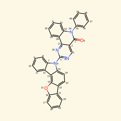 O=c1c2cnc(-n3c4ccccc4c4c5oc6ccccc6c5ccc43)nc2c2ccccc2n1-c1ccccc1